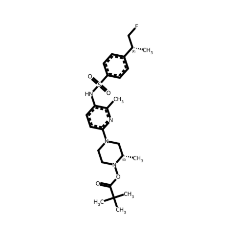 Cc1nc(N2CCN(OC(=O)C(C)(C)C)[C@@H](C)C2)ccc1NS(=O)(=O)c1ccc([C@@H](C)CF)cc1